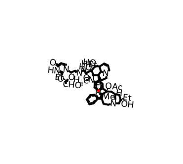 CC[C@H](C=O)O[C@H](/C=N/NC(=O)[C@]1(O)C2N(C)c3cc(OC)c([C@@]4(OC(C)=O)C[C@H]5CN(CCc6c4[nH]c4ccccc64)C[C@](O)(CC)C5)cc3C23CCN2CC=C[C@](CC)(C23)[C@H]1O)n1ccc(=O)[nH]c1=O